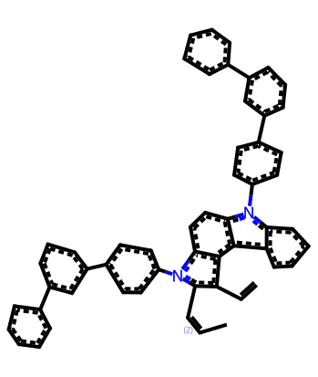 C=Cc1c(/C=C\C)n(-c2ccc(-c3cccc(-c4ccccc4)c3)cc2)c2ccc3c(c4ccccc4n3-c3ccc(-c4cccc(-c5ccccc5)c4)cc3)c12